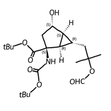 CC(C)(C)OC(=O)N[C@@]1(C(=O)OC(C)(C)C)C[C@H](O)[C@H]2[C@H](CC(C)(C)OC=O)[C@H]21